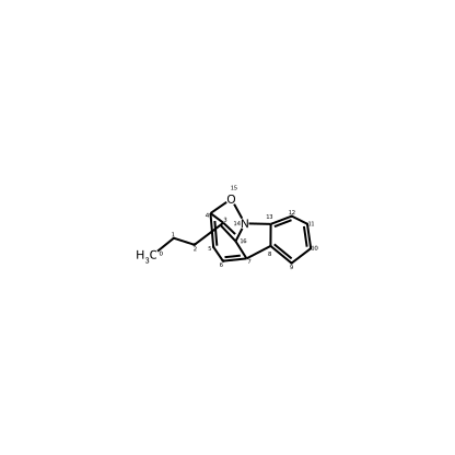 CCCc1c2ccc3c4ccccc4n(o2)c13